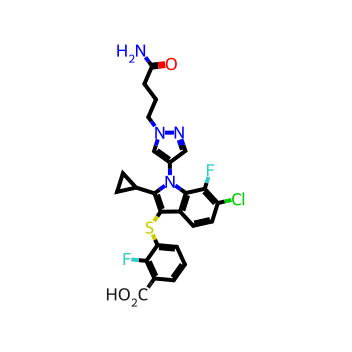 NC(=O)CCCn1cc(-n2c(C3CC3)c(Sc3cccc(C(=O)O)c3F)c3ccc(Cl)c(F)c32)cn1